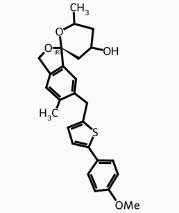 COc1ccc(-c2ccc(Cc3cc4c(cc3C)CO[C@@]43CC(O)CC(C)O3)s2)cc1